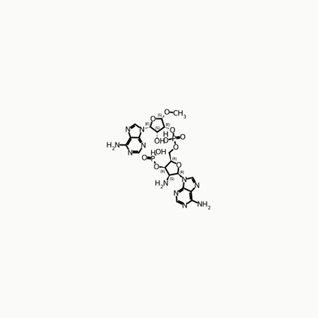 CO[C@H]1O[C@@H](n2cnc3c(N)ncnc32)[C@@H](O)[C@H]1OP(=O)(O)OC[C@H]1O[C@@H](n2cnc3c(N)ncnc32)[C@@H](N)[C@H]1O[PH](=O)O